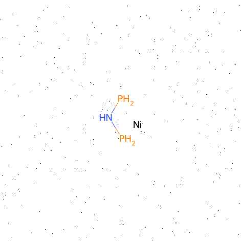 PNP.[Ni]